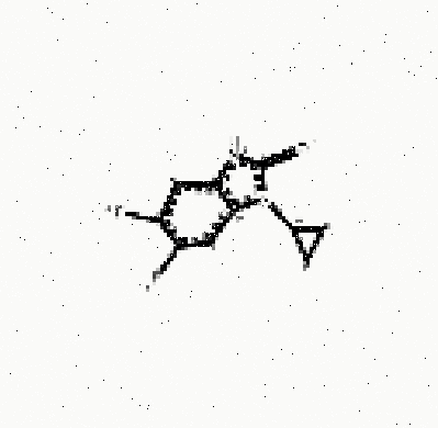 O=c1[nH]c2cc(F)c(F)cc2n1C1CC1